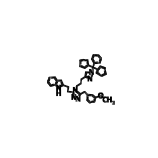 COc1cccc(Cc2nnc(CCc3cc4ccccc4[nH]3)n2CCCc2cn(C(c3ccccc3)(c3ccccc3)c3ccccc3)cn2)c1